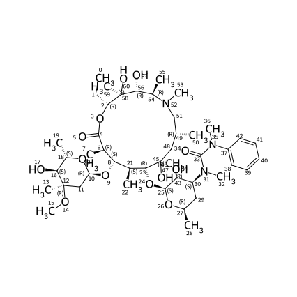 CC[C@H]1OC(=O)[C@H](C)[C@@H](O[C@H]2C[C@@](C)(OC)[C@@H](O)[C@H](C)O2)[C@H](C)[C@@H](O[C@@H]2O[C@H](C)C[C@H](N(C)C(=O)N(C)c3ccccc3)[C@H]2O)[C@](C)(O)C[C@@H](C)CN(C)[C@H](C)[C@@H](O)[C@]1(C)O